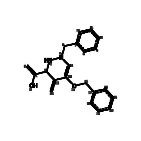 C=C(O)C1NN(Cc2ccccc2)C=C(OCc2ccccc2)C1=C